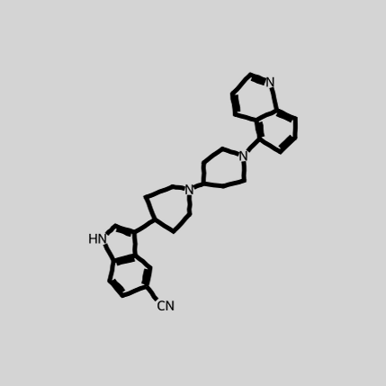 N#Cc1ccc2[nH]cc(C3CCN(C4CCN(c5cccc6ncccc56)CC4)CC3)c2c1